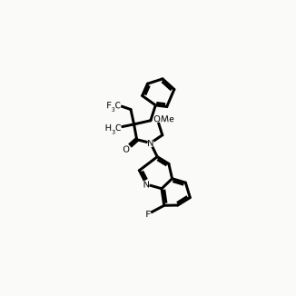 COCN(C(=O)C(C)(Cc1ccccc1)CC(F)(F)F)c1cnc2c(F)cccc2c1